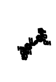 CC1CCCN1C(=O)c1ccc(C#CCNc2ccc(C(=N)NC(=O)OC(C)(C)C)cc2)cc1CO